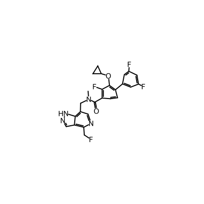 CN(Cc1cnc(CF)c2cn[nH]c12)C(=O)c1ccc(-c2cc(F)cc(F)c2)c(OC2CC2)c1F